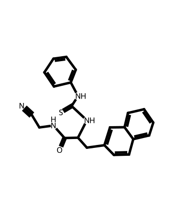 N#CCNC(=O)C(Cc1ccc2ccccc2c1)NC(=S)Nc1ccccc1